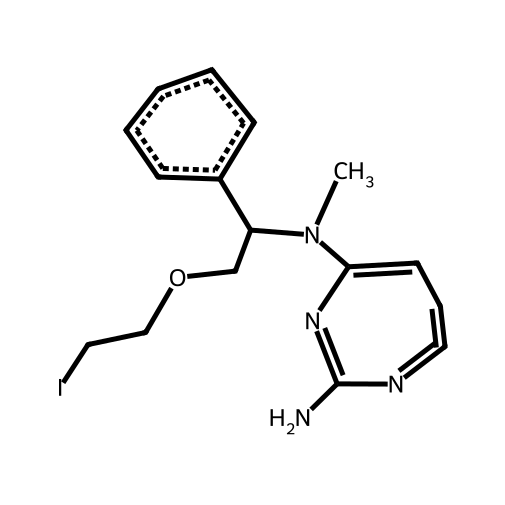 CN(C1=CC=C=NC(N)=N1)C(COCCI)c1ccccc1